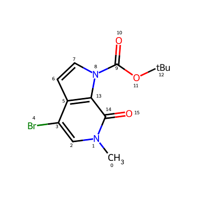 Cn1cc(Br)c2ccn(C(=O)OC(C)(C)C)c2c1=O